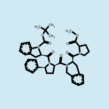 COC(=O)C1CCCN1C(=O)[C@H]1Cc2ccccc2CN1C(=O)[C@H]1CC[C@@H](c2ccccc2)N1C(=O)[C@H]1Cc2ccccc2N1C(=O)OC(C)(C)C